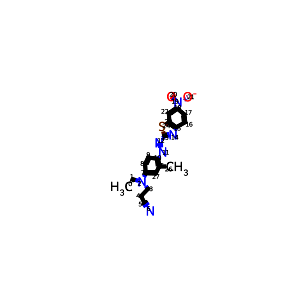 CCN(CCC#N)c1ccc(/N=N/c2nc3ccc([N+](=O)[O-])cc3s2)c(C)c1